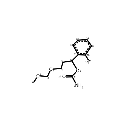 COCOCCC(OC(N)=O)c1ccccc1F